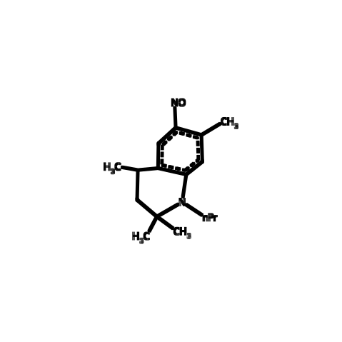 CCCN1c2cc(C)c(N=O)cc2C(C)CC1(C)C